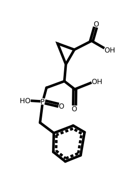 O=C(O)C1CC1C(CP(=O)(O)Cc1ccccc1)C(=O)O